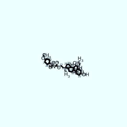 CC[C@H]1[C@@H](O)[C@@H]2[C@H](CC[C@]3(C)[C@@H](CCOC(=O)NS(=O)(=O)c4ccc(OC)cc4)CC[C@@H]23)[C@@]2(C)CC[C@@H](O)C[C@@H]12